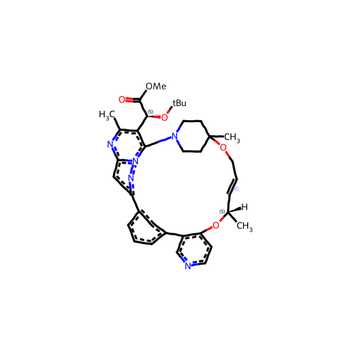 COC(=O)[C@@H](OC(C)(C)C)c1c(C)nc2cc3nn2c1N1CCC(C)(CC1)OC/C=C/[C@H](C)Oc1ccncc1-c1cccc-3c1